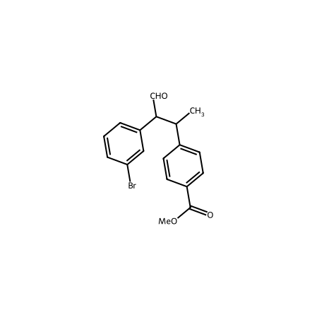 COC(=O)c1ccc(C(C)C(C=O)c2cccc(Br)c2)cc1